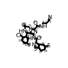 N#CCCNC(=O)c1nc(NC(=O)c2nsc3ccc(F)cc23)c2n1CC(=O)NC2c1cc(F)ccc1Cl